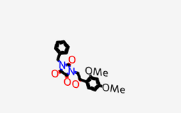 COc1ccc(C(=O)CN2C(=O)C(=O)N(Cc3ccccc3)C2=O)c(OC)c1